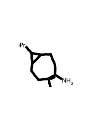 C/C1=C(\N)CCC2C(CC1)C2C(C)C